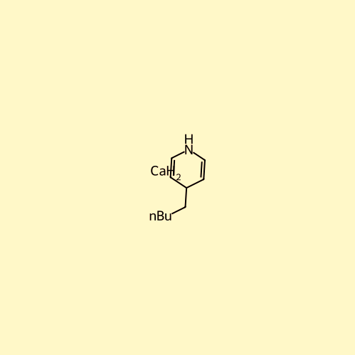 CCCCCC1C=CNC=C1.[CaH2]